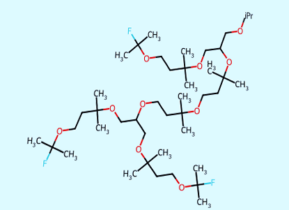 CC(C)OCC(COC(C)(C)CCOC(C)(C)F)OC(C)(C)CCOC(C)(C)CCOC(COC(C)(C)CCOC(C)(C)F)COC(C)(C)CCOC(C)(C)F